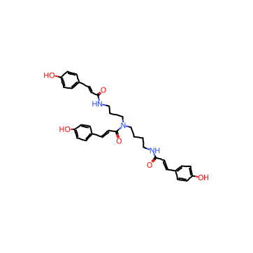 O=C(/C=C/c1ccc(O)cc1)NCCCCN(CCCNC(=O)/C=C/c1ccc(O)cc1)C(=O)/C=C/c1ccc(O)cc1